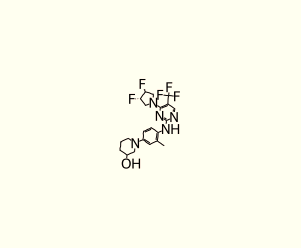 Cc1cc(N2CCCC(O)C2)ccc1Nc1ncc(C(F)(F)F)c(N2C[C@H](F)[C@@H](F)C2)n1